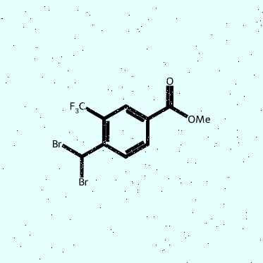 COC(=O)c1ccc(C(Br)Br)c(C(F)(F)F)c1